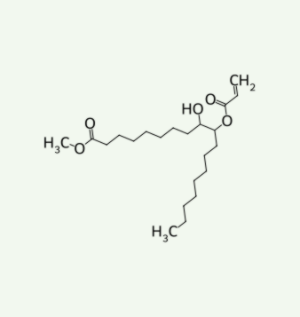 C=CC(=O)OC(CCCCCCCC)C(O)CCCCCCCC(=O)OC